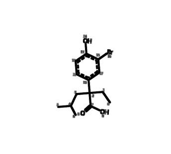 CCC(CC(C)C)(C(=O)O)c1ccc(O)c(Br)c1